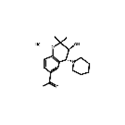 CC(=O)c1ccc2c(c1)[C@@H](N1CCCCC1)[C@H](O)C(C)(C)O2.Cl